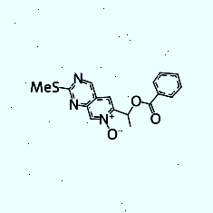 CSc1ncc2cc(C(C)OC(=O)c3ccccc3)[n+]([O-])cc2n1